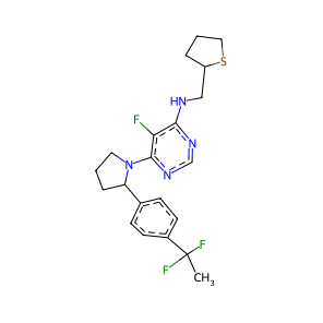 CC(F)(F)c1ccc(C2CCCN2c2ncnc(NCC3CCCS3)c2F)cc1